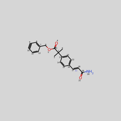 CC(C)(C(=O)OCc1cc#ccc1)c1ccc(/C=C/C(N)=O)cc1